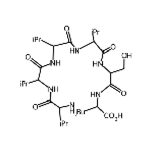 CCC(C)C(NC(=O)C(CO)NC(=O)C(NC(=O)C(NC(=O)C(NC(=O)C(N)C(C)C)C(C)C)C(C)C)C(C)C)C(=O)O